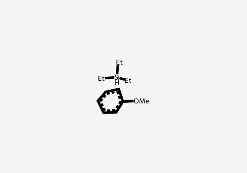 CC[SiH](CC)CC.COc1ccccc1